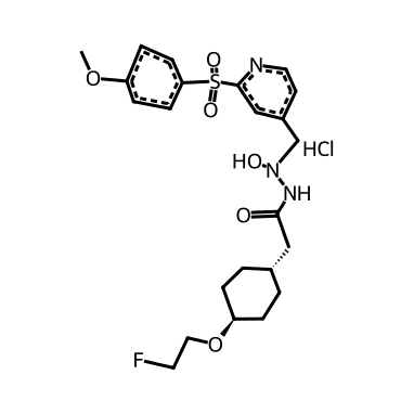 COc1ccc(S(=O)(=O)c2cc(CN(O)NC(=O)C[C@H]3CC[C@H](OCCF)CC3)ccn2)cc1.Cl